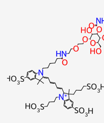 CC1(CCCCS(=O)(=O)O)C(/C=C/C=C/C=C2/N(CCCCCC(=O)NCCOCCO[C@H]3O[C@H](CO)[C@@H](O)[C@H](OC(N)=O)[C@@H]3O)c3ccc(S(=O)(=O)O)cc3C2(C)C)=[N+](CCCCS(=O)(=O)O)c2ccc(S(=O)(=O)O)cc21